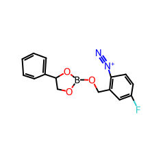 N#[N+]c1ccc(F)cc1COB1OCC(c2ccccc2)O1